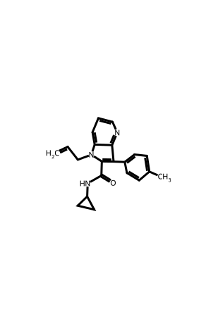 C=CCn1c(C(=O)NC2CC2)c(-c2ccc(C)cc2)c2ncccc21